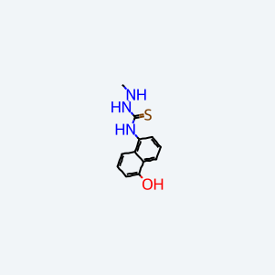 CNNC(=S)Nc1cccc2c(O)cccc12